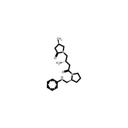 C[C@@H]1CC(=O)N(C[C@@H](N)CC(=O)N2CCC[C@H]2CNc2ccccc2)C1